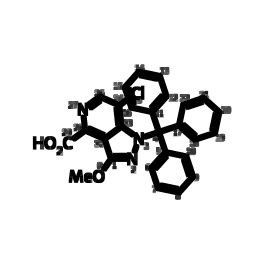 COc1nn(C(c2ccccc2)(c2ccccc2)c2ccccc2)c2c(Cl)cnc(C(=O)O)c12